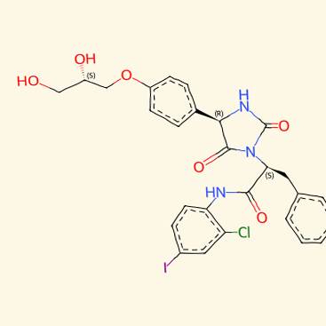 O=C(Nc1ccc(I)cc1Cl)[C@H](Cc1ccccc1)N1C(=O)N[C@H](c2ccc(OC[C@@H](O)CO)cc2)C1=O